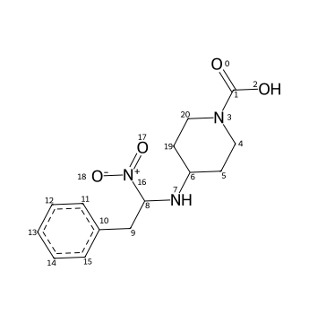 O=C(O)N1CCC(NC(Cc2ccccc2)[N+](=O)[O-])CC1